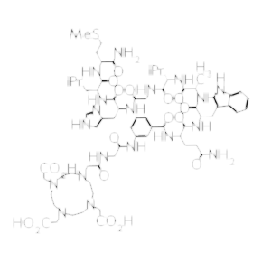 CSCC[C@H](NC(=O)[C@H](CC(C)C)NC(=O)[C@H](Cc1c[nH]cn1)NC(=O)CNC(=O)[C@@H](NC(=O)[C@H](C)NC(=O)[C@H](Cc1c[nH]c2ccccc12)NC(=O)C(CCC(N)=O)NC(=O)c1cccc(NC(=O)CNC(=O)CN2CCN(CC(=O)O)CCN(CC(=O)O)CCN(CC(=O)O)CC2)c1)C(C)C)C(N)=O